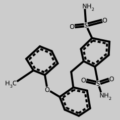 Cc1ccccc1Oc1ccccc1Cc1cc(S(N)(=O)=O)ccc1S(N)(=O)=O